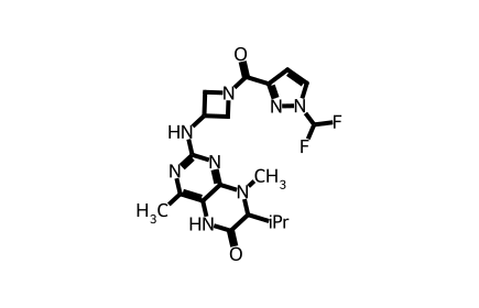 Cc1nc(NC2CN(C(=O)c3ccn(C(F)F)n3)C2)nc2c1NC(=O)C(C(C)C)N2C